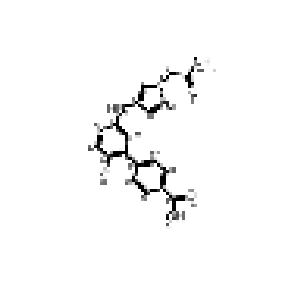 NC(=O)Cn1cc(Nc2ncc(Cl)c(-c3ccc(C(=O)O)cc3)n2)cn1